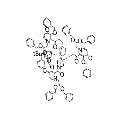 CC(C)(C)OC(=O)CC[C@@]12C[C@@]3(CCC(=O)c4c(OCc5ccccc5)c(=O)ccn4CC(OCc4ccccc4)OCc4ccccc4)C[C@@](CCC(=O)c4c(OCc5ccccc5)c(=O)ccn4CC(OCc4ccccc4)OCc4ccccc4)(C1)C[C@@](CNC(=O)c1c(OCc4ccccc4)c(=O)ccn1CC(OCc1ccccc1)OCc1ccccc1)(C2)C3